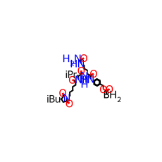 BC(=O)OCc1ccc(NC(=O)[C@H](CCCNC(N)=O)NC(=O)C(NC(=O)CCCCCN2C(=O)CC(C(C)CC)C2=O)C(C)C)cc1